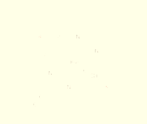 C=[C]=[Ru+2]([c]1ccccc1)(=[c]1n(C2CCCCC2)ccn1C1CCCCC1)=[c]1n(C2CCCCC2)ccn1C1CCCCC1.[Cl-].[Cl-]